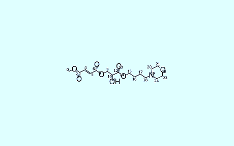 COC(=O)/C=C/C(=O)OCC(O)C(=O)OCCCCN1CCOCC1